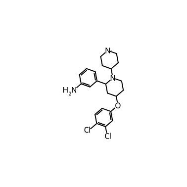 Nc1cccc(C2CC(Oc3ccc(Cl)c(Cl)c3)CCN2C2CC[N]CC2)c1